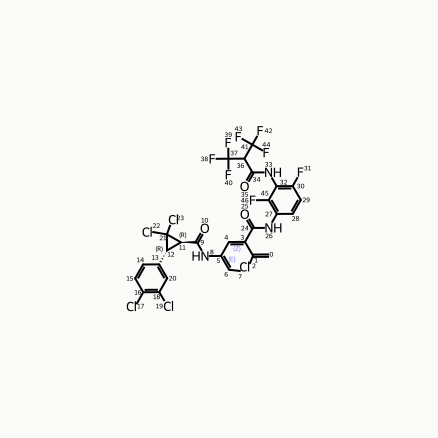 C=C(Cl)/C(=C\C(=C/C)NC(=O)[C@H]1[C@H](c2ccc(Cl)c(Cl)c2)C1(Cl)Cl)C(=O)Nc1ccc(F)c(NC(=O)C(C(F)(F)F)C(F)(F)F)c1F